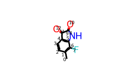 Cc1ccc2c(c1F)NC(=O)C2=O